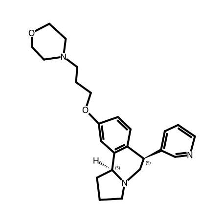 c1cncc([C@H]2CN3CCC[C@H]3c3cc(OCCCN4CCOCC4)ccc32)c1